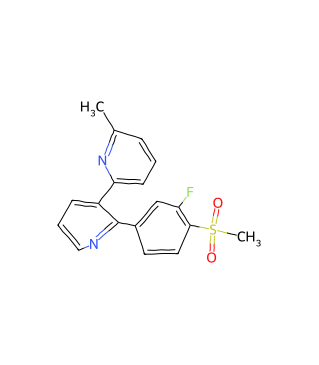 Cc1cccc(-c2cccnc2-c2ccc(S(C)(=O)=O)c(F)c2)n1